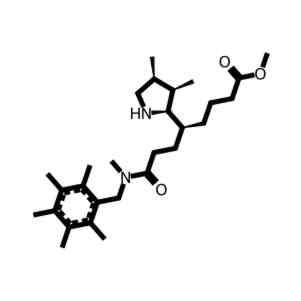 COC(=O)CCC[C@@H](CCC(=O)N(C)Cc1c(C)c(C)c(C)c(C)c1C)[C@H]1NC[C@@H](C)[C@H]1C